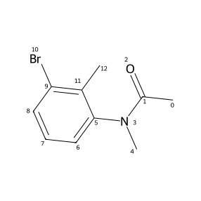 CC(=O)N(C)c1cccc(Br)c1C